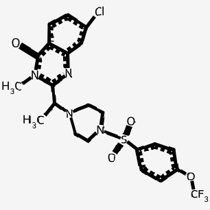 CC(c1nc2cc(Cl)ccc2c(=O)n1C)N1CCN(S(=O)(=O)c2ccc(OC(F)(F)F)cc2)CC1